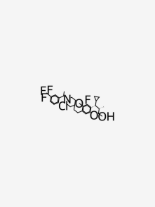 CC(c1cc(C(F)(F)F)ccc1Cl)N1CCC2(CCc3ccc([C@H](C4CC4)[C@H](C)C(=O)O)c(F)c3O2)CC1